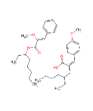 CCCCC(CC)CC(=Cc1ccc(OC)cc1)C(=O)O.CCCCCC(CC)OC(=O)C(=Cc1ccccc1)OC